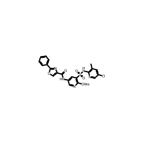 COc1ncc(NC(=O)c2coc(-c3ccccc3)n2)cc1S(=O)(=O)Nc1ncc(Cl)cc1C